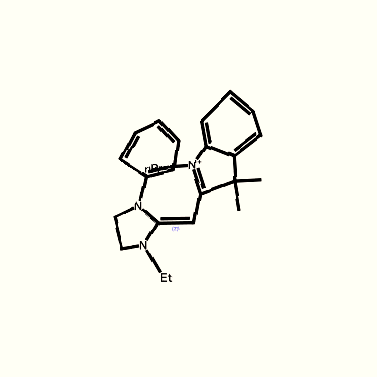 CCC[N+]1=C(/C=C2/N(CC)CCN2c2ccccc2)C(C)(C)c2ccccc21